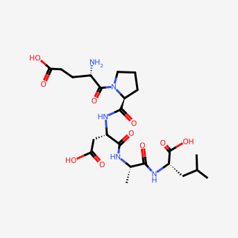 CC(C)C[C@H](NC(=O)[C@H](C)NC(=O)[C@H](CC(=O)O)NC(=O)[C@@H]1CCCN1C(=O)[C@@H](N)CCC(=O)O)C(=O)O